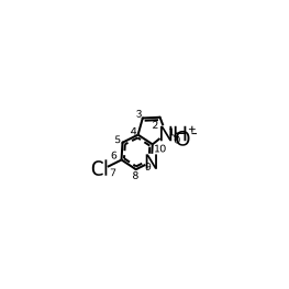 [O-][NH+]1C=Cc2cc(Cl)cnc21